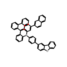 c1cc(-c2ccc3ccccc3c2)cc(N(c2ccc(-c3ccc4oc5ccccc5c4c3)cc2)c2ccccc2-c2cc3ccccc3c3ccccc23)c1